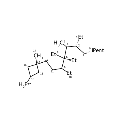 CCC[C@@H](C)C[C@@H](CC)C(C)C(CC)(CC)C(CC)CCC1(C)CC(P)C1